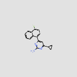 Nc1nc(-c2ccc(F)c3ccccc23)cc(C2CC2)n1